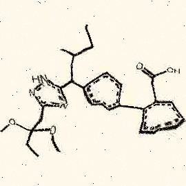 CCC(C)C(c1ccc(-c2ccccc2C(=O)O)cc1)c1nc(C(CC)(OC)OC)n[nH]1